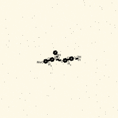 CCC(O)COc1ccc(C(C)(C)c2ccc(OCCC(COc3ccc(C(C)(C)c4ccc(OC)cc4)cc3)OC(=O)Nc3ccccc3)cc2)cc1